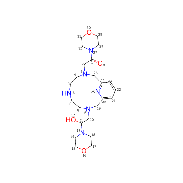 O=C(CN1CCNCCN(CC(O)N2CCOCC2)Cc2cccc(n2)C1)N1CCOCC1